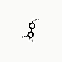 CCc1cc(-c2ccc(OC)cc2)ccc1C